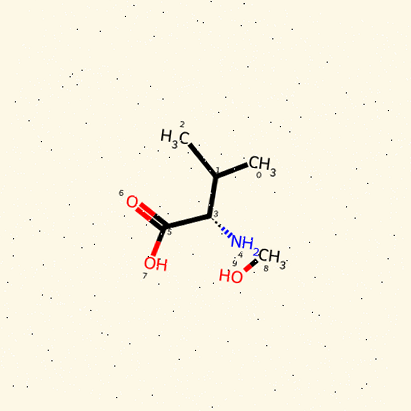 CC(C)[C@H](N)C(=O)O.CO